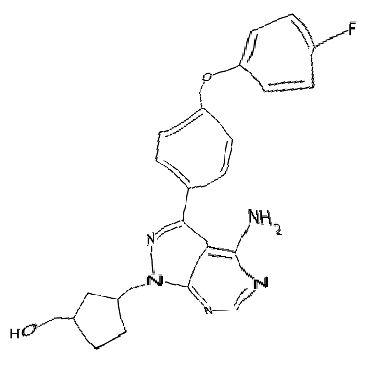 Nc1ncnc2c1c(-c1ccc(Oc3ccc(F)cc3)cc1)nn2C1CCC(O)C1